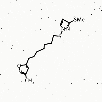 CSc1ccn(SCCCCCCCc2cc(C)no2)n1